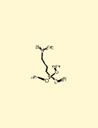 CCCO[Si](CCCN(CC)CC)(OCCC)OCCC